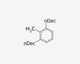 [CH2]c1c(CCCCCCCCCC)cccc1CCCCCCCCCC